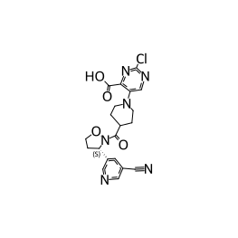 N#Cc1cncc([C@@H]2CCON2C(=O)C2CCN(c3cnc(Cl)nc3C(=O)O)CC2)c1